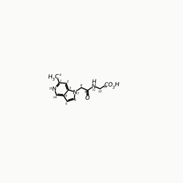 Cc1cc2c(ccn2CC(=O)NCC(=O)O)cn1